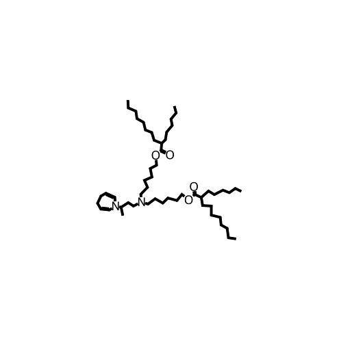 CCCCCCCCC(CCCCCC)C(=O)OCCCCCCN(CCCCCCOC(=O)C(CCCCCC)CCCCCCCC)CCC(C)N1C=CCCC=C1